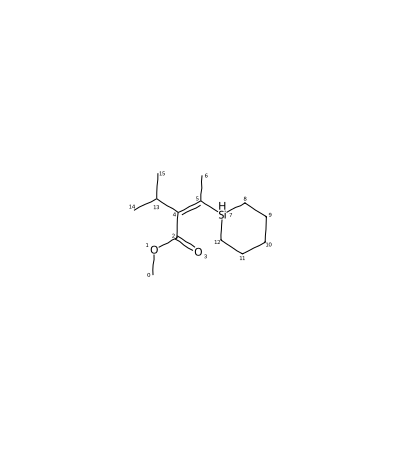 COC(=O)C(=C(C)[SiH]1CCCCC1)C(C)C